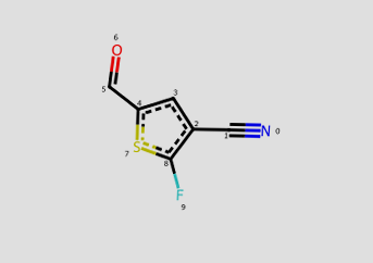 N#Cc1cc(C=O)sc1F